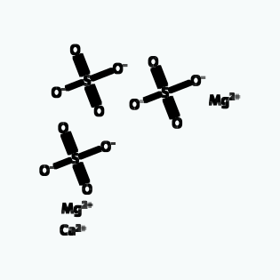 O=S(=O)([O-])[O-].O=S(=O)([O-])[O-].O=S(=O)([O-])[O-].[Ca+2].[Mg+2].[Mg+2]